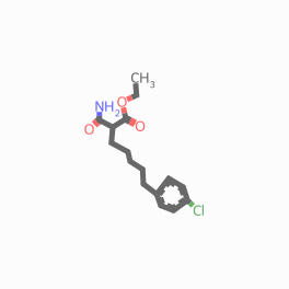 CCOC(=O)C(CCCCCc1ccc(Cl)cc1)C(N)=O